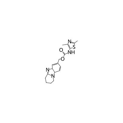 Cc1nc(C)c(NC(=O)OCC2=CC3N=C4CCCCN4C3C=C2)s1